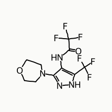 O=C(Nc1c(N2CCOCC2)n[nH]c1C(F)(F)F)C(F)(F)F